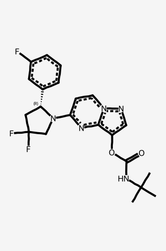 CC(C)(C)NC(=O)Oc1cnn2ccc(N3CC(F)(F)C[C@@H]3c3cccc(F)c3)nc12